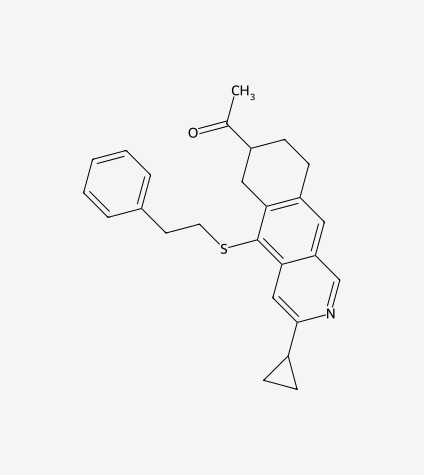 CC(=O)C1CCc2cc3cnc(C4CC4)cc3c(SCCc3ccccc3)c2C1